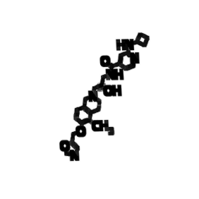 Cc1c(OCc2cnco2)ccc2c1CCN(C[C@@H](O)CNC(=O)c1ccnc(NC3CCC3)c1)C2